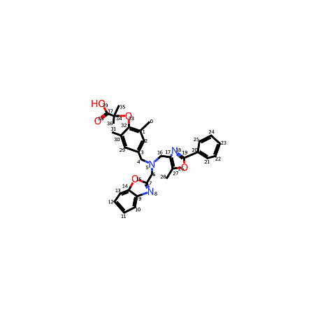 Cc1cc(CN(Cc2nc3ccccc3o2)Cc2nc(-c3ccccc3)oc2C)cc(C)c1OC(C)(C)C(=O)O